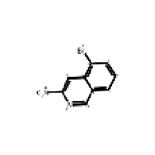 O=[N+]([O-])c1cc2c(Br)cccc2cn1